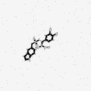 O=CN(O)[C@H](CS(=O)(=O)Cc1ccc2sccc2c1)c1ccc(Cl)c(Cl)c1